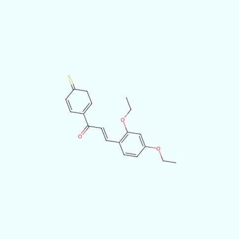 CCOc1ccc(C=CC(=O)C2=CCC(=S)C=C2)c(OCC)c1